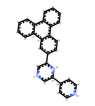 c1ccc2c(c1)c1ccccc1c1cc(-c3cncc(-c4ccncc4)n3)ccc21